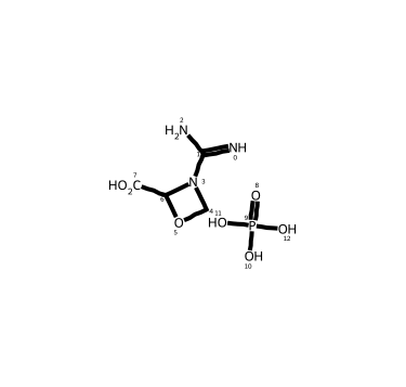 N=C(N)N1COC1C(=O)O.O=P(O)(O)O